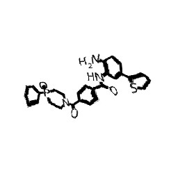 Nc1ccc(-c2cccs2)cc1NC(=O)c1ccc(C(=O)N2CCP(=O)(c3ccccc3)CC2)cc1